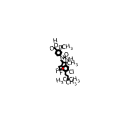 COc1cc(N2C=C(C3CC(F)(F)C3)[C@](C)(c3ccc(CCC(C)(C)C)c(Cl)c3)NC2=O)ccc1C(=O)O